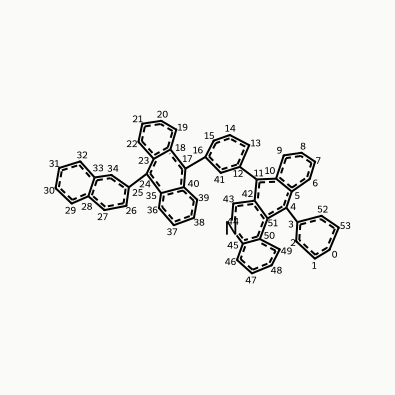 c1ccc(-c2c3ccccc3c(-c3cccc(-c4c5ccccc5c(-c5ccc6ccccc6c5)c5ccccc45)c3)c3cnc4ccccc4c23)cc1